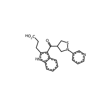 O=C(O)CCc1[nH]c2ccccc2c1C(=O)C1CSN(c2cccnc2)C1